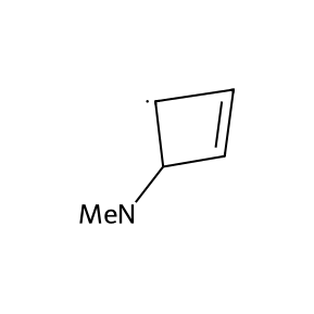 CNC1[CH]C=C1